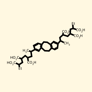 CCC(CC(CC(CC(C)c1ccc2c(c1)CCc1ccc(C(C)CC(CC(CC(CC)C(=O)O)C(=O)O)C(=O)O)cc1CC2)C(=O)O)C(=O)O)C(=O)O